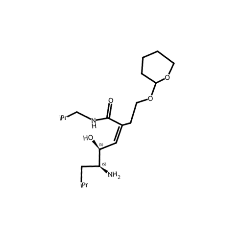 CC(C)CNC(=O)C(=C[C@H](O)[C@@H](N)CC(C)C)CCOC1CCCCO1